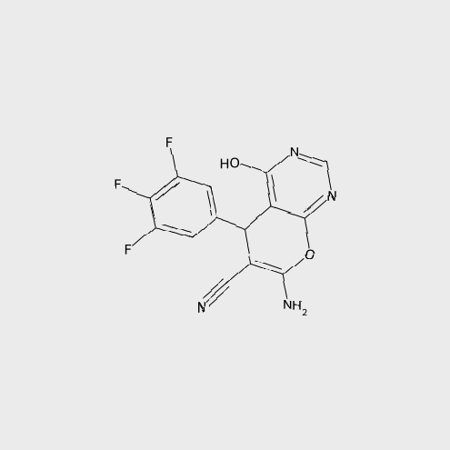 N#CC1=C(N)Oc2ncnc(O)c2C1c1cc(F)c(F)c(F)c1